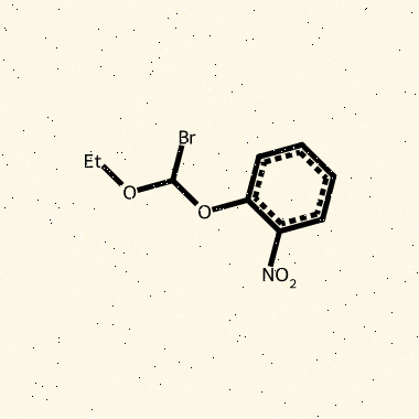 CCOC(Br)Oc1ccccc1[N+](=O)[O-]